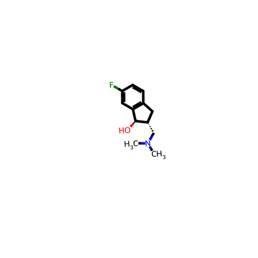 CN(C)C[C@H]1Cc2ccc(F)cc2[C@@H]1O